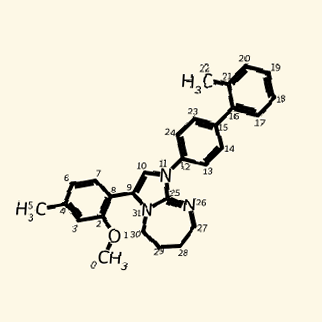 COc1cc(C)ccc1C1=CN(c2ccc(-c3ccccc3C)cc2)C2=NCCCCN12